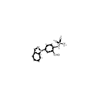 O=Cc1cc(-n2ncc3ccccc32)ccc1OS(=O)(=O)C(F)(F)F